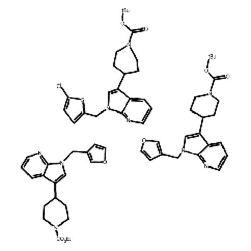 CC(C)(C)OC(=O)N1CCC(c2cn(Cc3ccc(Cl)s3)c3ncccc23)CC1.CC(C)(C)OC(=O)N1CCC(c2cn(Cc3ccoc3)c3ncccc23)CC1.CCOC(=O)N1CCC(c2cn(Cc3ccoc3)c3ncccc23)CC1